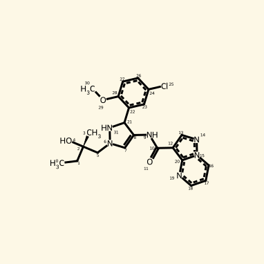 CC[C@](C)(O)CN1C=C(NC(=O)c2cnn3cccnc23)C(c2cc(Cl)ccc2OC)N1